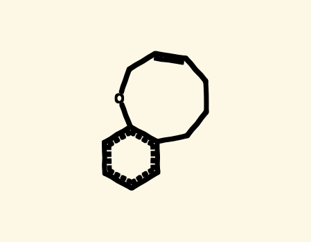 C1=C\COc2ccccc2CCC/1